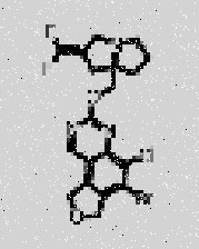 FC(F)=C1CN2CCC[C@]2(COc2ncc3c4c(c(Br)c(Cl)c3n2)COC4)C1